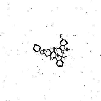 Fc1ccc2[nH]nc(Nc3nc(-c4ccccc4C(F)(F)F)nc4c3CNC(Cc3ccccc3)C4)c2c1